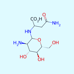 NC(=O)CC(NC1O[C@H](CO)[C@@H](O)[C@H](O)[C@H]1N)C(=O)O